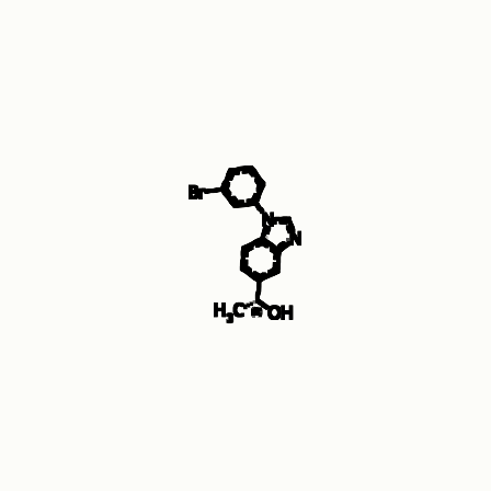 C[C@@H](O)c1ccc2c(c1)ncn2-c1cccc(Br)c1